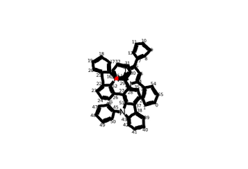 c1ccc(-c2cc(-c3ccccc3)nc(-n3c4ccccc4c4cccc(-c5c(-c6ccccc6)ccc6c7ccccc7n(-c7ccccc7)c56)c43)n2)cc1